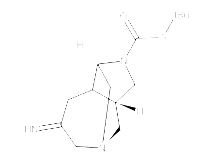 CC(C)(C)OC(=O)N1C[C@@H]2C[N@@]3CC(=N)CC2[C@@H]1C3